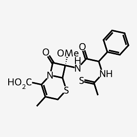 CO[C@@]1(NC(=O)C(NC(C)=S)c2ccccc2)C(=O)N2C(C(=O)O)=C(C)CSC21